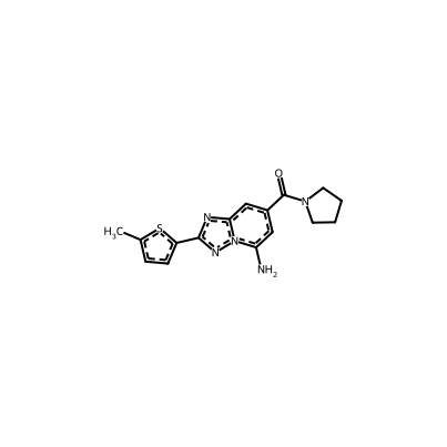 Cc1ccc(-c2nc3cc(C(=O)N4CCCC4)cc(N)n3n2)s1